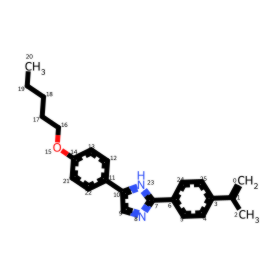 C=C(C)c1ccc(-c2ncc(-c3ccc(OCCCCC)cc3)[nH]2)cc1